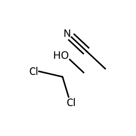 CC#N.CO.ClCCl